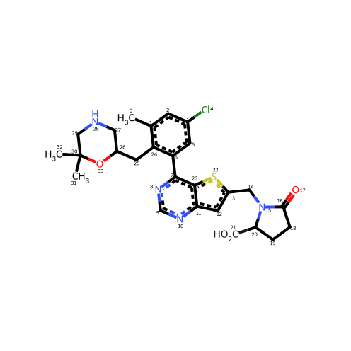 Cc1cc(Cl)cc(-c2ncnc3cc(CN4C(=O)CCC4C(=O)O)sc23)c1CC1CNCC(C)(C)O1